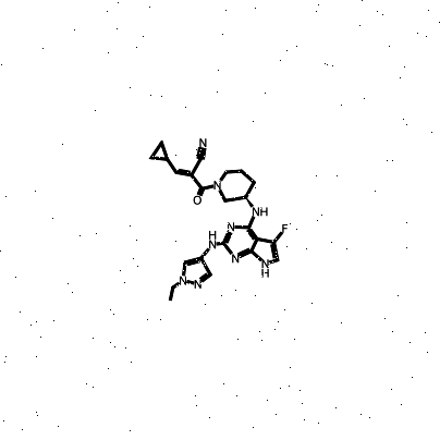 CCn1cc(Nc2nc(N[C@@H]3CCCN(C(=O)/C(C#N)=C/C4CC4)C3)c3c(F)c[nH]c3n2)cn1